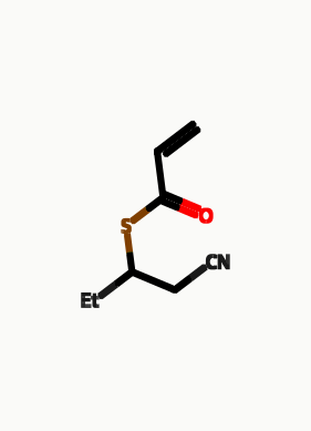 C=CC(=O)SC(CC)CC#N